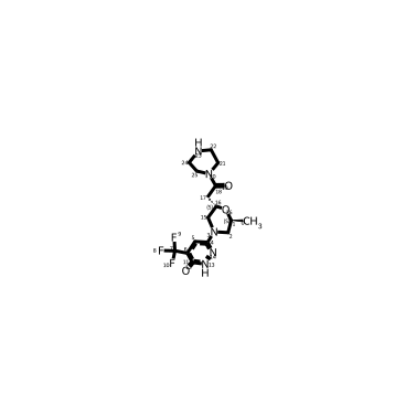 C[C@H]1CN(c2cc(C(F)(F)F)c(=O)[nH]n2)C[C@H](CC(=O)N2CCNCC2)O1